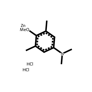 COc1c(C)cc(N(C)C)cc1C.Cl.Cl.[Zn]